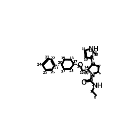 CCNC(=O)N1CC[C@H](c2cc[nH]n2)[C@@H]1CO[C@H]1CC[C@@H](c2ccccc2)CC1